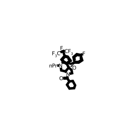 CCCN1CC2N(C(=O)C3CCCCC3)CCC2(S(=O)(=O)c2ccc(F)cc2)c2ccc(C(F)(C(F)(F)F)C(F)(F)F)cc21